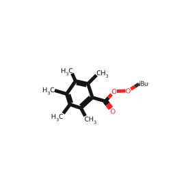 CC[C](C)OOC(=O)c1c(C)c(C)c(C)c(C)c1C